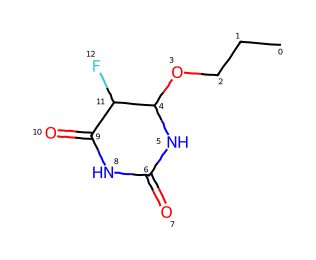 CCCOC1NC(=O)NC(=O)C1F